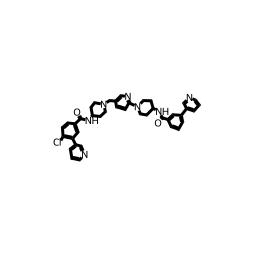 O=C(NC1CCN(Cc2ccc(N3CCC(NC(=O)c4cccc(-c5cccnc5)c4)CC3)nc2)CC1)c1ccc(Cl)c(-c2cccnc2)c1